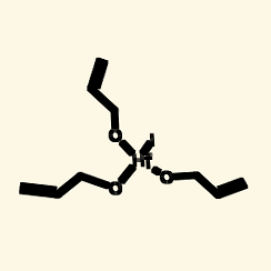 C=CC[O][Hf]([I])([O]CC=C)[O]CC=C